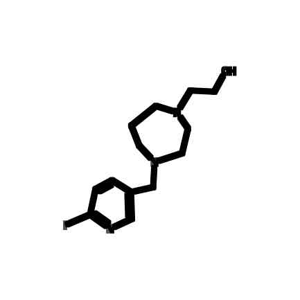 OCCN1CCCN(Cc2ccc(I)nc2)CC1